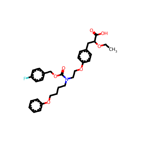 CCOC(Cc1ccc(OCCN(CCCCOc2ccccc2)C(=O)OCc2ccc(F)cc2)cc1)C(=O)O